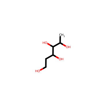 CC(O)[C](O)C(O)CCO